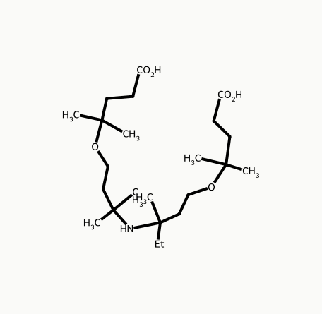 CCC(C)(CCOC(C)(C)CCC(=O)O)NC(C)(C)CCOC(C)(C)CCC(=O)O